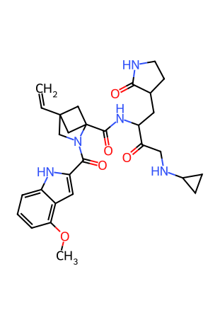 C=CC12CN(C(=O)c3cc4c(OC)cccc4[nH]3)C(C(=O)NC(CC3CCNC3=O)C(=O)CNC3CC3)(C1)C2